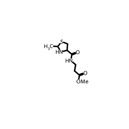 COC(=O)CCNC(=O)C1CSC(C)N1